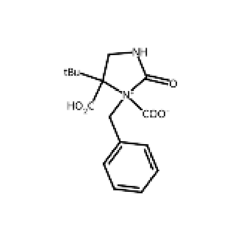 CC(C)(C)C1(C(=O)O)CNC(=O)[N+]1(Cc1ccccc1)C(=O)[O-]